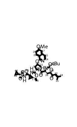 C=C[C@@H]1C[C@]1(NC(=O)[C@@H]1C[C@@H](Oc2nccc3cc(OC)ccc23)CN1C(=O)[C@H](CCC(=O)C=C(C)C)NC(=O)OC(C)(C)C)C(=O)NS(=O)(=O)C1CC1